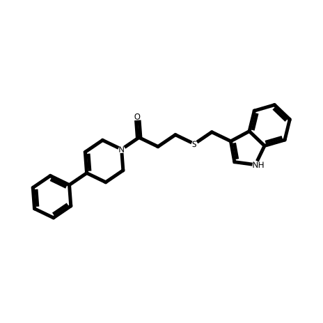 O=C(CCSCc1c[nH]c2ccccc12)N1CC=C(c2ccccc2)CC1